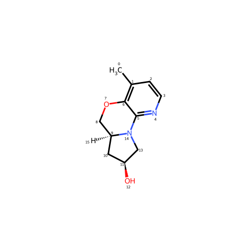 Cc1ccnc2c1OC[C@@H]1C[C@H](O)CN21